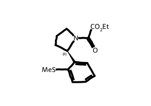 CCOC(=O)C(=O)N1CCC[C@@H]1c1ccccc1SC